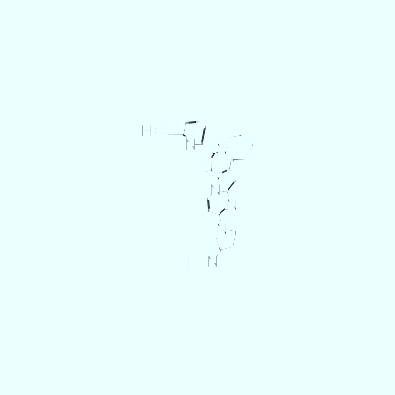 Cc1cn2nc([C@@H]3CCCCN3C(=O)c3cccc(CO)n3)cc2nc1N1CC[C@H](N)C1